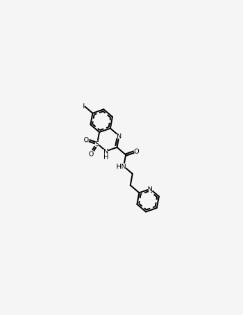 O=C(NCCc1ccccn1)C1=Nc2ccc(I)cc2S(=O)(=O)N1